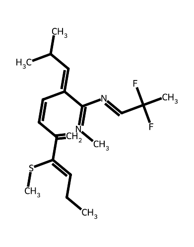 C=C(\C=C/C(=C\C(C)C)C(=N/C)/N=C/C(C)(F)F)C(=CCC)SC